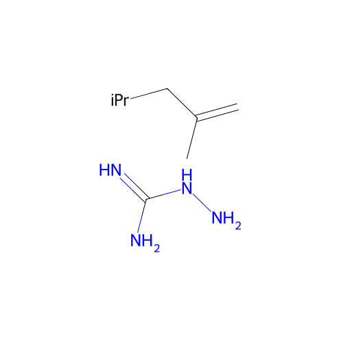 C=C(C)CC(C)C.N=C(N)NN